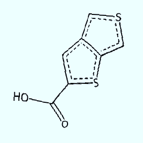 O=C(O)c1cc2cscc2s1